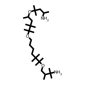 CC(N)CC(C)(C)OC(C)CC(C)(C)C(C)(C)OCCCCC(C)(C)C(C)(C)OCC(C)C(C)(C)N